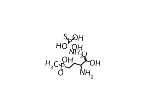 CP(=O)(O)CCC(N)C(=O)O.N.OP(O)(O)=S